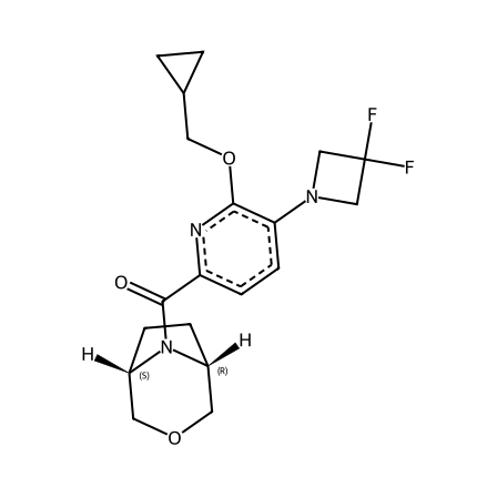 O=C(c1ccc(N2CC(F)(F)C2)c(OCC2CC2)n1)N1[C@@H]2CC[C@H]1COC2